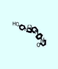 O=C1CCCN1c1ccc(N2CCCC3(CCN([C@H]4CC[C@H](O)CC4)C3=O)C2)cc1